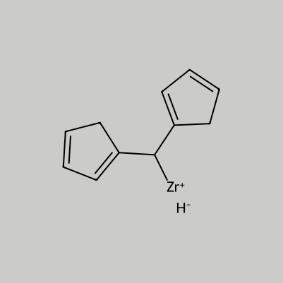 [H-].[Zr+][CH](C1=CC=CC1)C1=CC=CC1